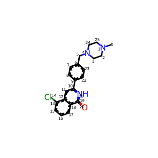 CN1CCN(Cc2ccc(-c3cc4c(Cl)cccc4c(=O)[nH]3)cc2)CC1